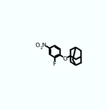 O=[N+]([O-])c1ccc(OC23CC4CC(CC(C4)C2)C3)c(F)c1